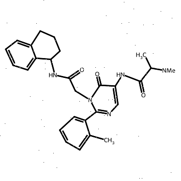 CNC(C)C(=O)Nc1cnc(-c2ccccc2C)n(CC(=O)NC2CCCc3ccccc32)c1=O